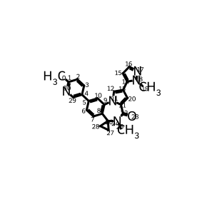 Cc1ccc(-c2ccc3c(c2)-n2cc(-c4ccnn4C)cc2C(=O)N(C)C32CC2)cn1